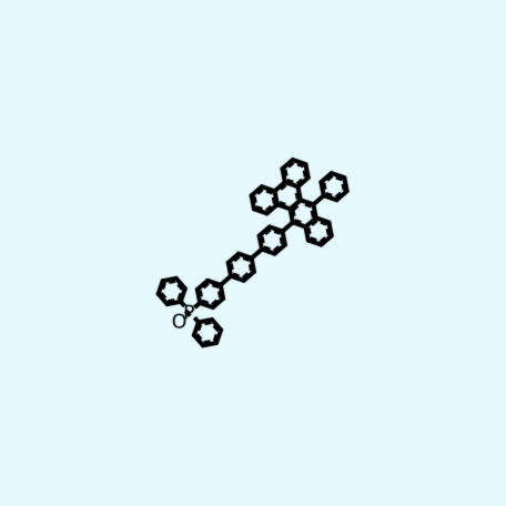 O=P(c1ccccc1)(c1ccccc1)c1ccc(-c2ccc(-c3ccc(-c4c5ccccc5c(-c5ccccc5)c5c6ccccc6c6ccccc6c45)cc3)cc2)cc1